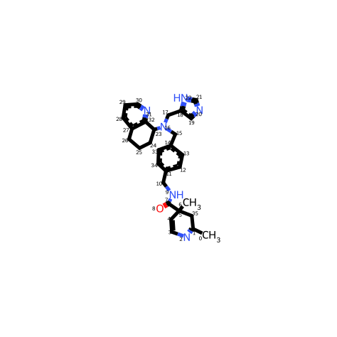 CC1=NC=CC(C)(C(=O)NCc2ccc(CN(Cc3cnc[nH]3)C3CCCc4cccnc43)cc2)C1